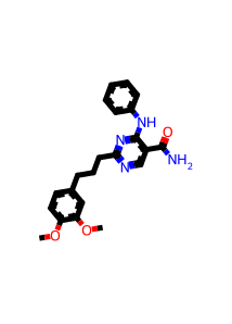 COc1ccc(CCCc2ncc(C(N)=O)c(Nc3ccccc3)n2)cc1OC